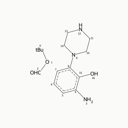 CC(C)(C)OC=O.Nc1cccc(N2CCNCC2)c1O